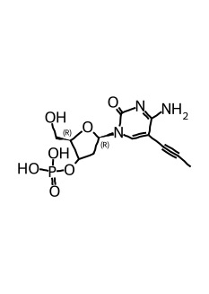 CC#Cc1cn([C@H]2CC(OP(=O)(O)O)[C@@H](CO)O2)c(=O)nc1N